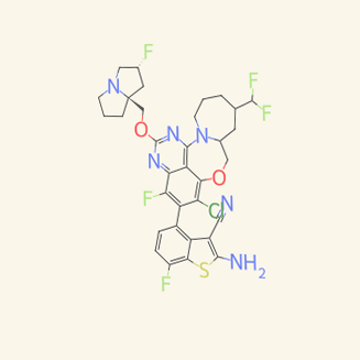 N#Cc1c(N)sc2c(F)ccc(-c3c(Cl)c4c5c(nc(OC[C@@]67CCCN6C[C@H](F)C7)nc5c3F)N3CCCC(C(F)F)CC3CO4)c12